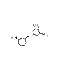 CC1C=C(N)C=C(CCC2=CCCCC(N)=C2)C1